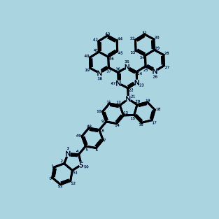 C1=CC2N=C(c3ccc(-c4ccc5c(c4)c4ccccc4n5-c4nc(-c5nccc6ccccc56)nc(-c5nccc6ccccc56)n4)cc3)SC2C=C1